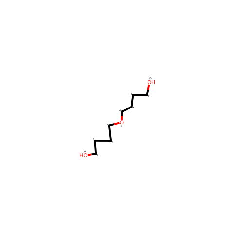 OCCCCOCCCCO